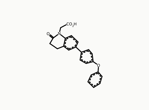 O=C(O)CN1C(=O)CCc2cc(-c3ccc(Oc4ccccc4)cc3)ccc21